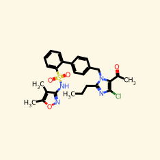 CCCc1nc(Cl)c(C(C)=O)n1Cc1ccc(-c2ccccc2S(=O)(=O)Nc2noc(C)c2C)cc1